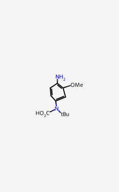 COc1cc(N(C(=O)O)C(C)(C)C)ccc1N